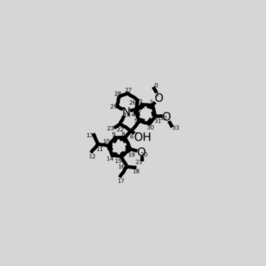 COc1ccc(C(O)(c2cc(C(C)C)cc(C(C)C)c2OC)C(C)N2CCCCC2)cc1OC